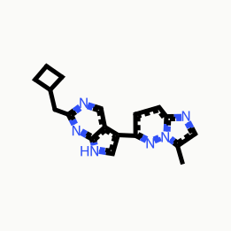 Cc1cnc2ccc(-c3c[nH]c4nc(CC5CCC5)ncc34)nn12